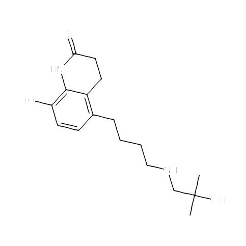 CC(C)(O)CNCCCCc1ccc(O)c2c1CCC(=O)N2